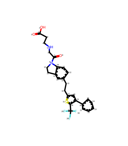 O=C(O)CCNCC(=O)N1CCc2cc(CCc3cc(-c4ccccc4)c(C(F)(F)F)s3)ccc21